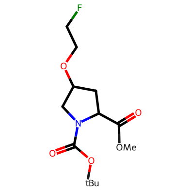 COC(=O)C1CC(OCCF)CN1C(=O)OC(C)(C)C